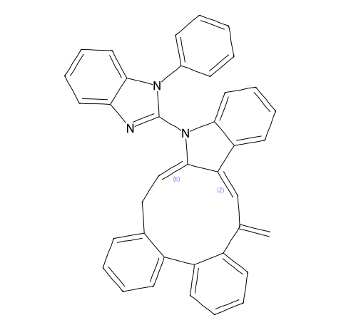 C=C1/C=c2\c(n(-c3nc4ccccc4n3-c3ccccc3)c3ccccc23)=C/Cc2ccccc2-c2ccccc21